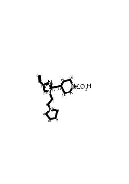 C=Cc1cn(CCN2CCCC2)c(C2CCN(C(=O)O)CC2)n1